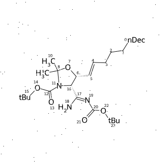 CCCCCCCCCCCCCC=C[C@H]1OC(C)(C)N(C(=O)OC(C)(C)C)[C@H]1C(N)=NC(=O)OC(C)(C)C